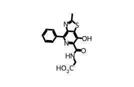 Cc1nc2c(-c3ccccc3)nc(C(=O)NCC(=O)O)c(O)c2s1